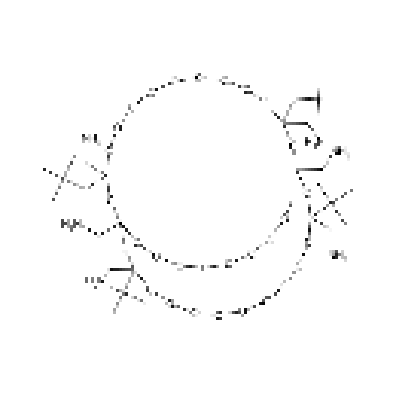 CC(C)(C)CC1(CN)COCCOCCOCC(CN)(CC(C)(C)C)CC2(CN)COCCOCCOCC(CN)(C1)CC(CN)(C(C)(C)C)COCCOCCOCC(CN)(C(C)(C)C)C2